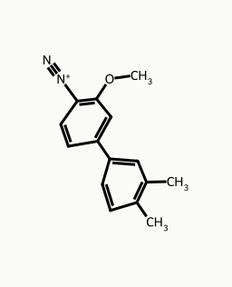 COc1cc(-c2ccc(C)c(C)c2)ccc1[N+]#N